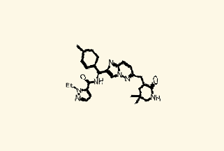 CCn1nccc1C(=O)N[C@H](c1cn2nc(CC3CC(C)(C)CNC3=O)ccc2n1)C1CCC(C)CC1